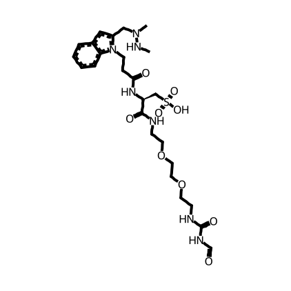 CNN(C)Cc1cc2ccccc2n1CCC(=O)N[C@@H](CS(=O)(=O)O)C(=O)NCCOCCOCCNC(=O)NC=O